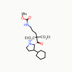 CCOC(=O)C(CCCNC(=O)OC(C)(C)C)(C(=O)OCC)C(=O)[C@H]1NCCC1C1CCCCC1